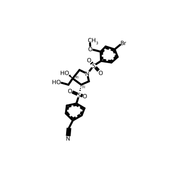 COc1cc(Br)ccc1S(=O)(=O)N1C[C@H](S(=O)(=O)c2ccc(C#N)cc2)[C@](O)(CO)C1